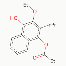 CCCc1c(OCC)c(O)c2ccccc2c1OC(=O)CC